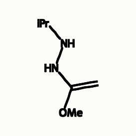 C=C(NNC(C)C)OC